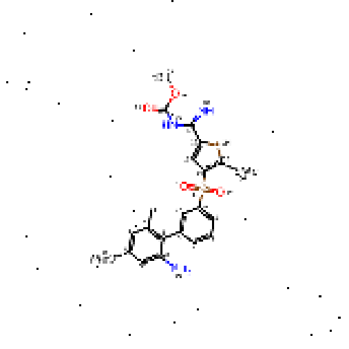 COc1cc(C)c(-c2cccc(S(=O)(=O)c3cc(C(=N)NC(=O)OC(C)(C)C)sc3SC)c2)c(N)c1